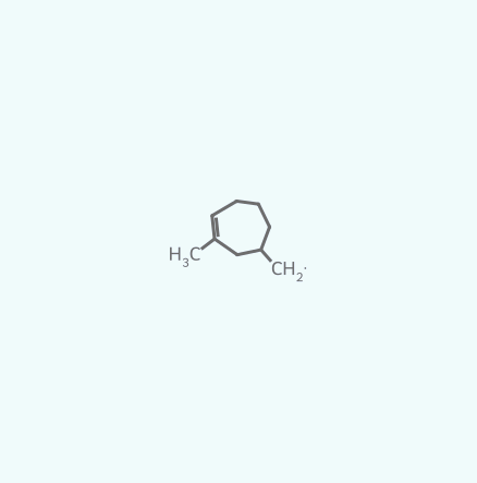 [CH2]C1CCCC=C(C)C1